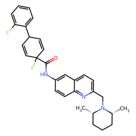 C[C@@H]1CCC[C@H](C)N1Cc1ccc2cc(NC(=O)C3(F)C=CC(c4ccccc4F)C=C3)ccc2n1